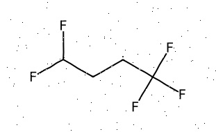 FC(F)C[CH]C(F)(F)F